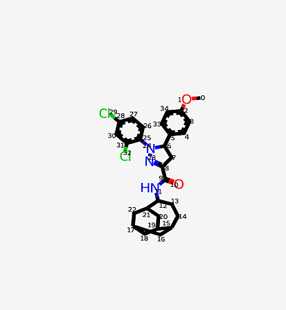 COc1ccc(C2CC(C(=O)NC3CCC4CC5CC4CC3C5)=NN2c2ccc(Cl)cc2Cl)cc1